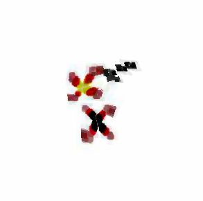 O=S(=O)(O)O.[CaH2].[Cd].[O]=[Cr](=[O])([OH])[OH].[Zn]